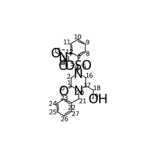 O=C1CN(S(=O)(=O)c2ccccc2[N+](=O)[O-])CC(CO)N1Cc1ccccc1